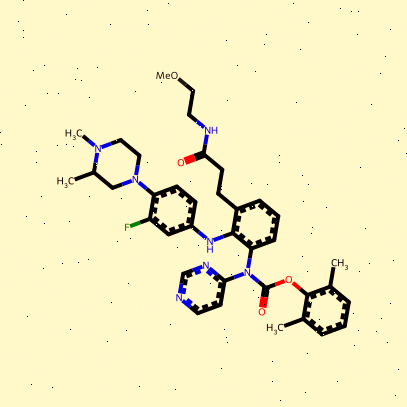 COCCNC(=O)CCc1cccc(N(C(=O)Oc2c(C)cccc2C)c2ccncn2)c1Nc1ccc(N2CCN(C)C(C)C2)c(F)c1